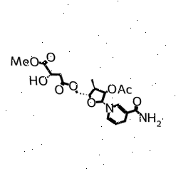 COC(=O)[C@@H](O)CC(=O)OC[C@H]1O[C@@H](N2C=CCC(C(N)=O)=C2)[C@H](OC(C)=O)[C@@H]1C